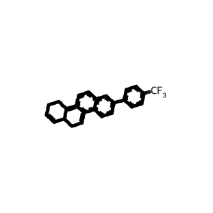 FC(F)(F)c1ccc(-c2ccc3c4c(ccc3c2)=C2CCC=CC2CC=4)cc1